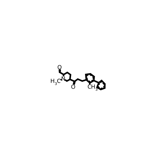 Cc1c(CCC(=O)C2CCC(C=O)N(C)C2)cccc1-c1ccccc1